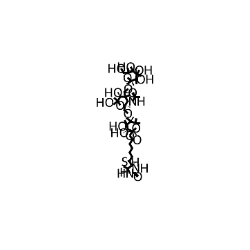 CC(=O)N[C@H]1C(C)(COC[C@]2(C)OC(C)(CO)[C@](C)(O)C(C)(O)C2(C)O)[C@H](O)C(C)(CO)O[C@]1(C)COC[C@]1(C)C(C)(C)O[C@](C)(OC(=O)CCCCC2SC[C@@H]3NC(=O)N[C@H]23)[C@H](O)C1(C)O